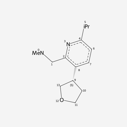 CNCc1nc(C(C)C)ccc1[C@@H]1CCOC1